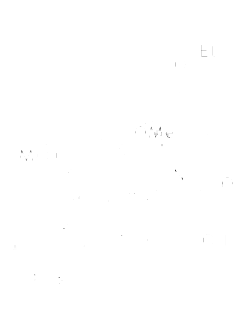 CCOc1ccc(N2C(=O)C(O)=C(CC=Cc3ccccc3)C2c2ccc(OC)cc2OC)cc1